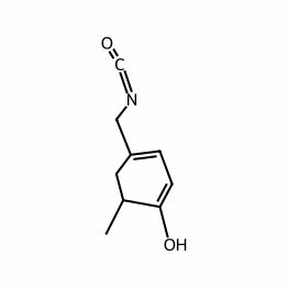 CC1CC(CN=C=O)=CC=C1O